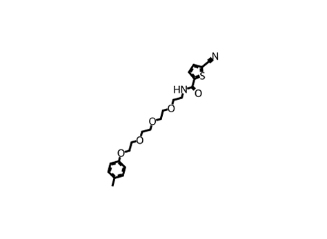 Cc1ccc(OCCOCCOCCOCCNC(=O)c2ccc(C#N)s2)cc1